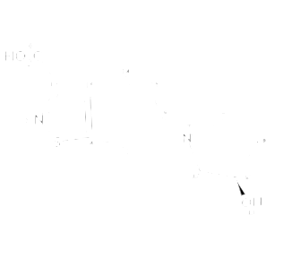 O=C(O)c1nsc2cc(N3CC[C@@H](O)C3)ccc12